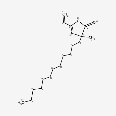 C=CC1=NC(C)(CCCCCCCCCCCC)C(=O)O1